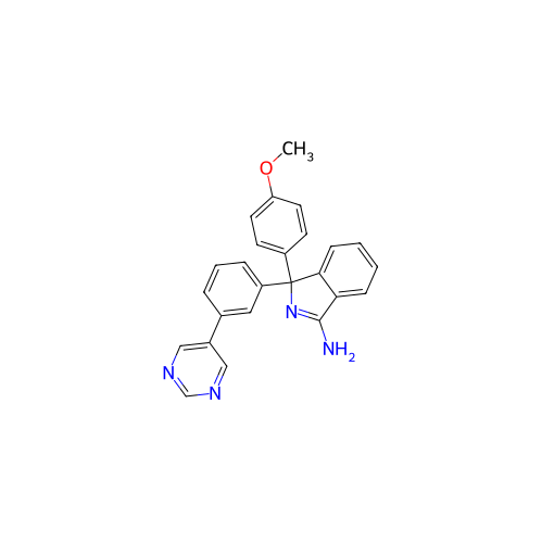 COc1ccc(C2(c3cccc(-c4cncnc4)c3)N=C(N)c3ccccc32)cc1